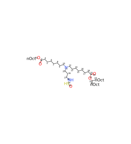 CCCCCCCCOC(=O)CCCCCCCN(CCCCCCCC(=O)OC(CCCCCCCC)CCCCCCCC)CCCN[SH]=O